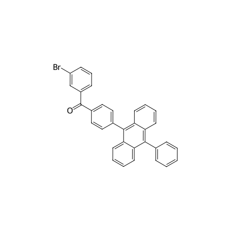 O=C(c1ccc(-c2c3ccccc3c(-c3ccccc3)c3ccccc23)cc1)c1cccc(Br)c1